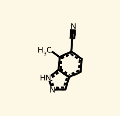 Cc1c(C#N)ccc2cn[nH]c12